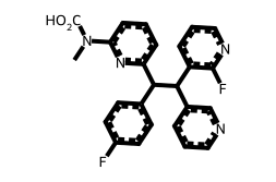 CN(C(=O)O)c1cccc(C(c2ccc(F)cc2)C(c2cccnc2)c2cccnc2F)n1